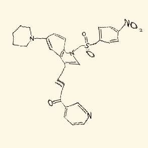 O=C(/C=C/c1cn(S(=O)(=O)c2ccc([N+](=O)[O-])cc2)c2ccc(N3CCCCC3)cc12)c1cccnc1